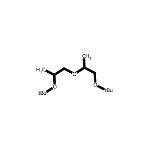 CC(COC(C)(C)C)OCC(C)OC(C)(C)C